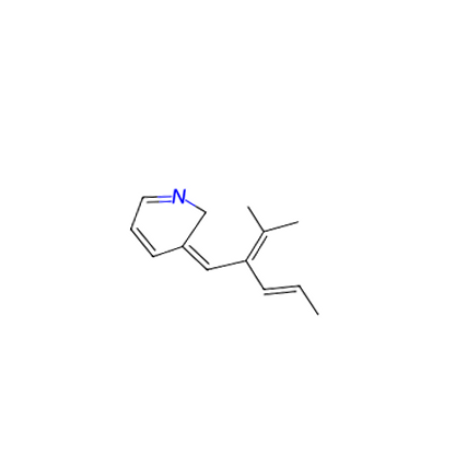 C/C=C/C(/C=C1/C=CC=NC1)=C(C)C